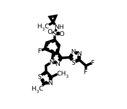 Cc1nc(C)c(Cn2nc(-c3nnc(C(F)F)s3)c3cc(S(=O)(=O)NC4(C)CC4)cc(F)c32)s1